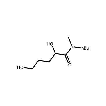 CCCCN(C)C(=O)C(O)CCCO